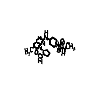 CNS(=O)(=O)N1CCC(Nc2ncc3cc(C)c(=O)n([C@@H]4CCC[C@H]4O)c3n2)CC1